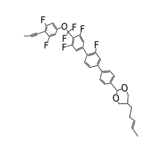 CC#Cc1c(F)cc(OC(F)(F)c2c(F)cc(-c3ccc(-c4ccc(C5OCC(CC/C=C/C)CO5)cc4)cc3F)cc2F)cc1F